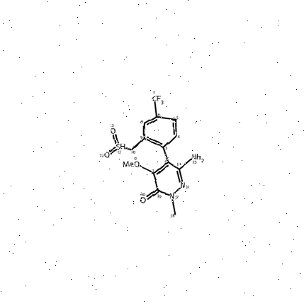 COc1c(-c2ccc(C(F)(F)F)cc2C[SH](=O)=O)c(N)nn(C)c1=O